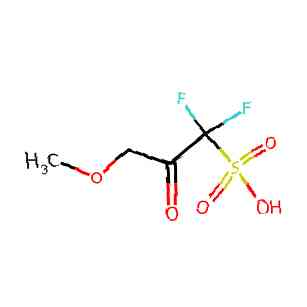 COCC(=O)C(F)(F)S(=O)(=O)O